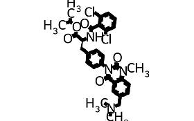 CC(C)OC(=O)[C@H](Cc1ccc(-n2c(=O)c3cc(CN(C)C)ccc3n(C)c2=O)cc1)NC(=O)c1c(Cl)cccc1Cl